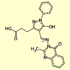 Cc1nc2ccccc2c(=O)n1/N=C/c1c(CCC(=O)O)nn(-c2ccccc2)c1O